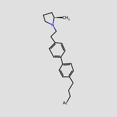 CC(=O)CCCc1ccc(-c2ccc(CCN3CCC[C@H]3C)cc2)cc1